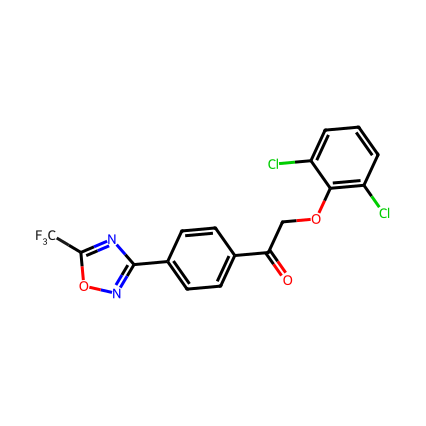 O=C(COc1c(Cl)cccc1Cl)c1ccc(-c2noc(C(F)(F)F)n2)cc1